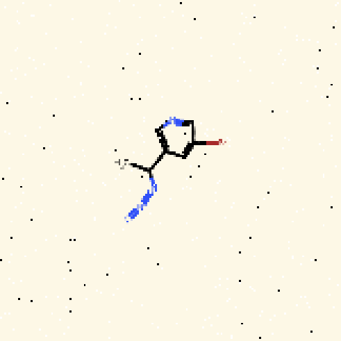 CC(N=[N+]=[N-])c1cncc(Br)c1